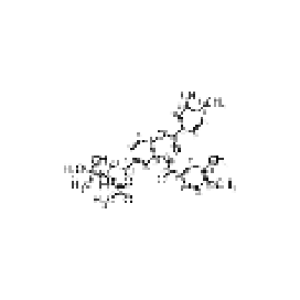 Cc1ccc(C(=O)Oc2ccc(C(CNC(C)(C)C)OS(C)(=O)=O)cc2OC(=O)c2ccc(C)c(C)c2)cc1C